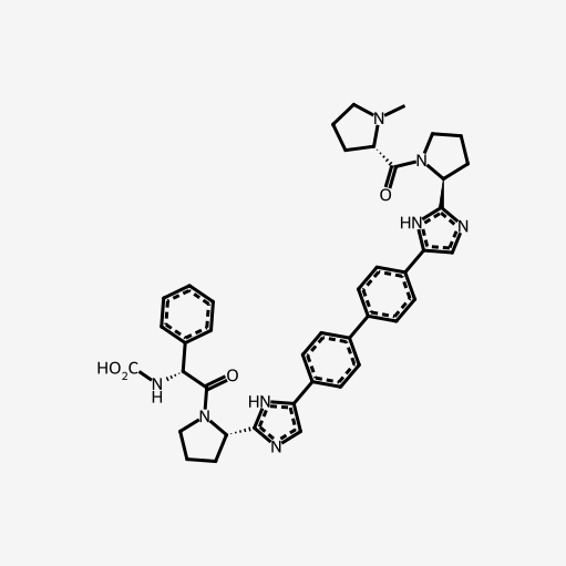 CN1CCC[C@H]1C(=O)N1CCC[C@H]1c1ncc(-c2ccc(-c3ccc(-c4cnc([C@@H]5CCCN5C(=O)[C@H](NC(=O)O)c5ccccc5)[nH]4)cc3)cc2)[nH]1